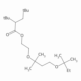 CCC(C)(C)OCCC(C)(C)OCCOC(=O)C(CC(C)(C)C)C(C)(C)C